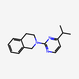 CC(C)c1ccnc(N2CCc3ccccc3C2)n1